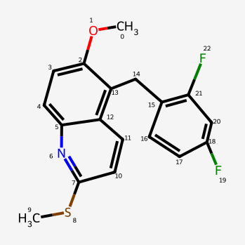 COc1ccc2nc(SC)ccc2c1Cc1ccc(F)cc1F